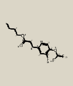 CCCCOC(=O)CCc1ccc(OC(F)F)c(F)c1